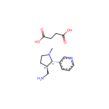 CN1CC[C@H](CN)[C@H]1c1cccnc1.O=C(O)CCC(=O)O